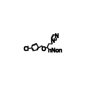 CCCCCCCCCC(CCn1ccnc1)OCc1ccc(Cl)cc1